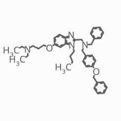 CCCCn1c(CN(Cc2ccccc2)Cc2ccc(OCc3ccccc3)cc2)nc2ccc(OCCCN(CC)CC)cc21